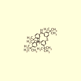 CC(C)(C)c1ccc(Nc2cc(Sc3cc(Nc4ccc(C(C)(C)C)cc4)cc(C(C)(C)C)c3)cc(C(C)(C)C)c2)cc1